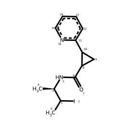 CC(I)[C@@H](C)NC(=O)C1CC1c1ccccn1